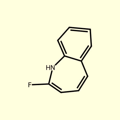 FC1=CC=Cc2ccccc2N1